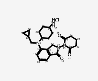 Cl.NC1CCC(N(CC2CC2)c2cccc3c2CN(N2C(=O)CCCC2=O)C3=O)CC1